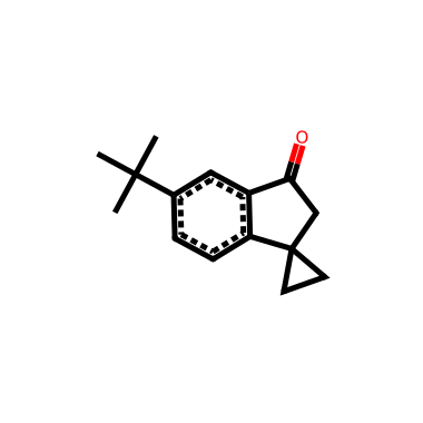 CC(C)(C)c1ccc2c(c1)C(=O)CC21CC1